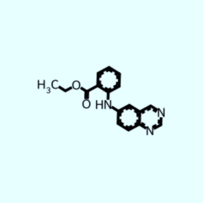 CCOC(=O)c1ccccc1Nc1ccc2ncncc2c1